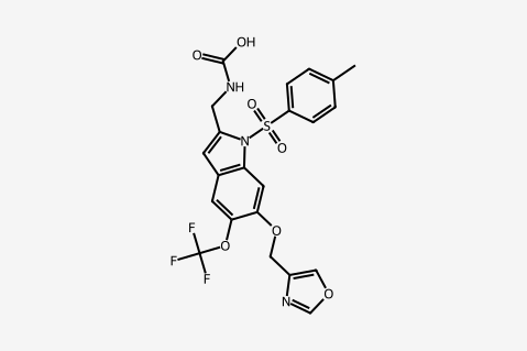 Cc1ccc(S(=O)(=O)n2c(CNC(=O)O)cc3cc(OC(F)(F)F)c(OCc4cocn4)cc32)cc1